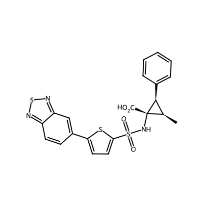 C[C@@H]1[C@H](c2ccccc2)[C@]1(NS(=O)(=O)c1ccc(-c2ccc3nsnc3c2)s1)C(=O)O